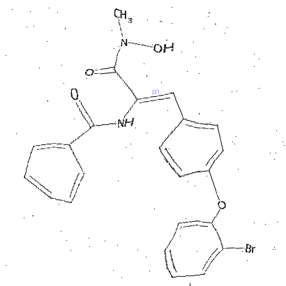 CN(O)C(=O)/C(=C/c1ccc(Oc2ccccc2Br)cc1)NC(=O)c1ccccc1